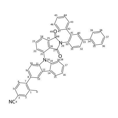 Cc1cc(C#N)ccc1-c1ccc2c(c1)c1ccccc1n2-c1cccc2c1C(=O)N(c1ccc(-c3ccccc3)cc1-c1ccccc1)C2=O